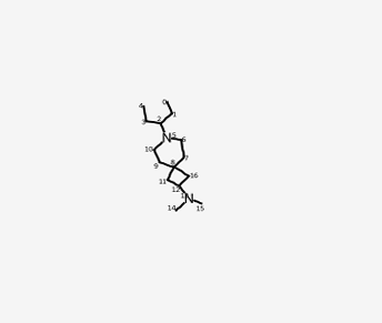 CCC(CC)N1CCC2(CC1)CC(N(C)C)C2